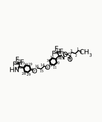 CCCCS(=O)O/N=C(/c1ccc(OCCCOc2ccc(C(=N)C(F)(F)F)cc2)cc1)C(F)(F)F